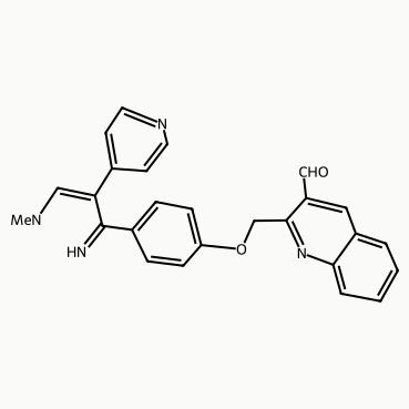 CN/C=C(\C(=N)c1ccc(OCc2nc3ccccc3cc2C=O)cc1)c1ccncc1